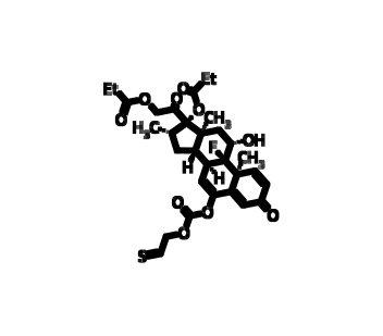 CCC(=O)OCC(=O)[C@]1(OC(=O)CC)[C@@H](C)C[C@H]2[C@@H]3C=C(OC(=O)OCC=S)C4=CC(=O)C=C[C@]4(C)[C@@]3(F)[C@@H](O)C[C@@]21C